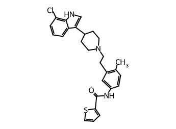 Cc1ccc(NC(=O)c2cccs2)cc1CCN1CCC(c2c[nH]c3c(Cl)cccc23)CC1